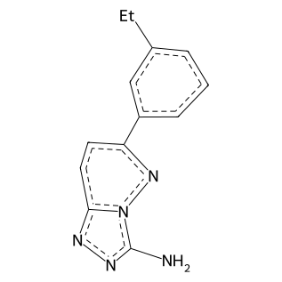 CCc1cccc(-c2ccc3nnc(N)n3n2)c1